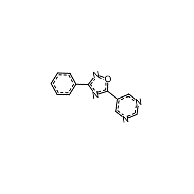 c1ccc(-c2noc(-c3cncnc3)n2)cc1